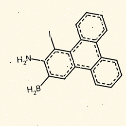 Bc1cc2c3ccccc3c3ccccc3c2c(I)c1N